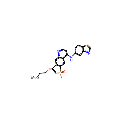 COCCOC1=CS(=O)(=O)c2cc3c(Nc4ccc5scnc5c4)ccnc3cc21